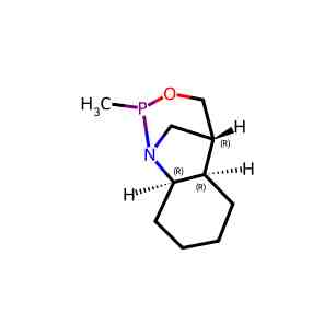 CP1OC[C@H]2CN1[C@@H]1CCCC[C@H]21